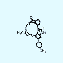 CC1CCN(c2cc3c4nc(c(=O)[nH]c4c2)-c2cccc4c(=O)n([nH]c24)CCN2CC(C[C@H]2C)O3)CC1